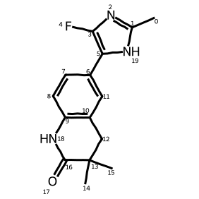 Cc1nc(F)c(-c2ccc3c(c2)CC(C)(C)C(=O)N3)[nH]1